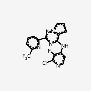 Fc1c(Nc2nc(-c3cccc(C(F)(F)F)n3)nn3cccc23)ccnc1Cl